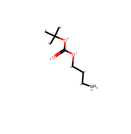 CC(C)(C)OC(=O)OCCC[SiH3]